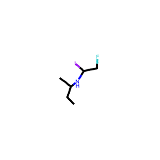 CCC(C)NC(I)CF